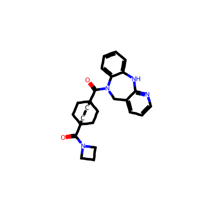 O=C(N1CCC1)C12CCC(C(=O)N3Cc4cccnc4Nc4ccccc43)(CC1)CC2